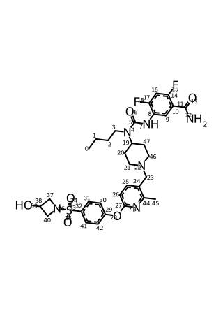 CCCCN(C(=O)Nc1cc(C(N)=O)c(F)cc1F)C1CCN(Cc2ccc(Oc3ccc(S(=O)(=O)N4CC(O)C4)cc3)nc2C)CC1